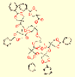 CC1(C(=O)OCC(COCC(COC(=O)C2(C)COC(c3ccccc3)OC2)(COC(=O)C2(C)COC(c3ccccc3)OC2)CC2OC2C(=O)C2(C)COC(c3ccccc3)OC2)(COC(=O)C2(C)COC(c3ccccc3)OC2)COC(=O)C2(C)COC(c3ccccc3)OC2)COC(c2ccccc2)OC1